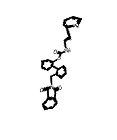 O=C(NCCc1ccccn1)Oc1ccccc1-c1ccccc1CN1C(=O)c2ccccc2C1=O